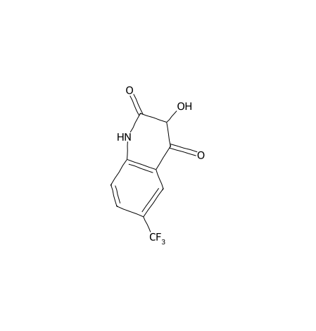 O=C1Nc2ccc(C(F)(F)F)cc2C(=O)C1O